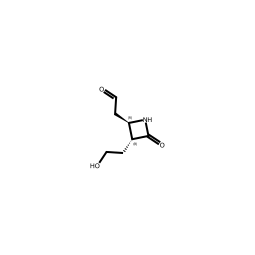 O=CC[C@H]1NC(=O)[C@@H]1CCO